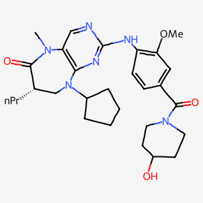 CCC[C@H]1CN(C2CCCC2)c2nc(Nc3ccc(C(=O)N4CCC(O)CC4)cc3OC)ncc2N(C)C1=O